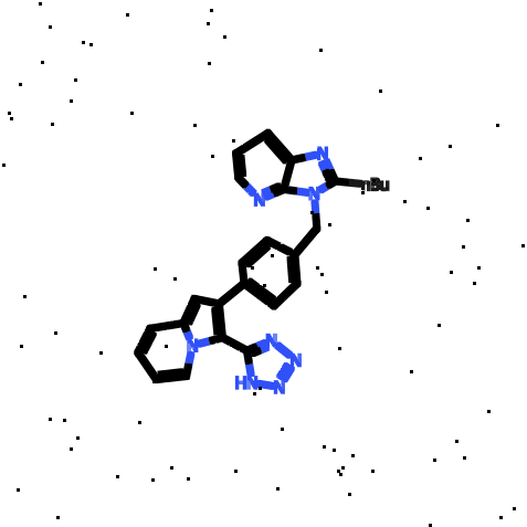 CCCCc1nc2cccnc2n1Cc1ccc(-c2cc3ccccn3c2-c2nnn[nH]2)cc1